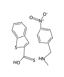 CNCc1ccc([N+](=O)[O-])cc1.OC(=S)c1cc2ccccc2s1